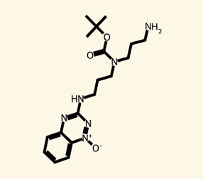 CC(C)(C)OC(=O)N(CCCN)CCCNc1nc2ccccc2[n+]([O-])n1